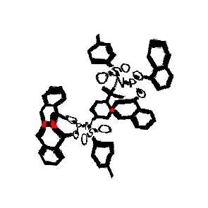 Cc1ccc(S(=O)(=O)N(C2CCC(C(C)(C)N(P(Oc3cccc4ccccc34)Oc3cccc4ccccc34)S(=O)(=O)c3ccc(C)cc3)CC2)P(Oc2cccc3ccccc23)Oc2cccc3ccccc23)cc1